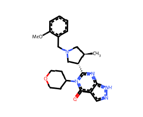 COc1ccccc1CN1C[C@@H](C)[C@H](c2nc3[nH]ncc3c(=O)n2C2CCOCC2)C1